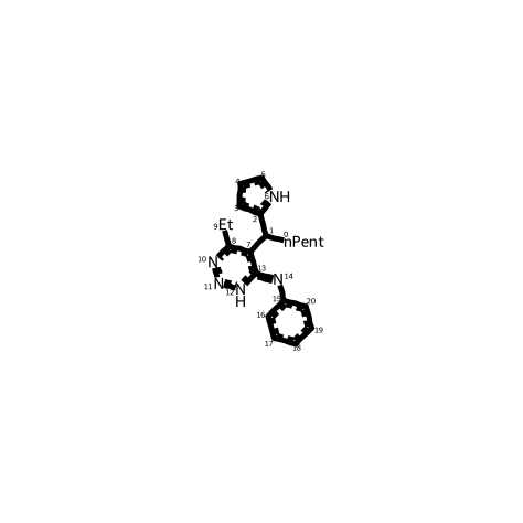 CCCCCC(c1ccc[nH]1)c1c(CC)nn[nH]c1=Nc1ccccc1